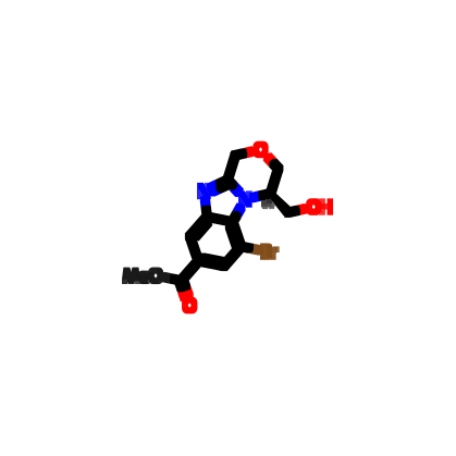 COC(=O)c1cc(Br)c2c(c1)nc1n2[C@H](CO)COC1